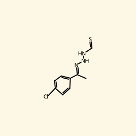 CC(=NNNC=S)c1ccc(Cl)cc1